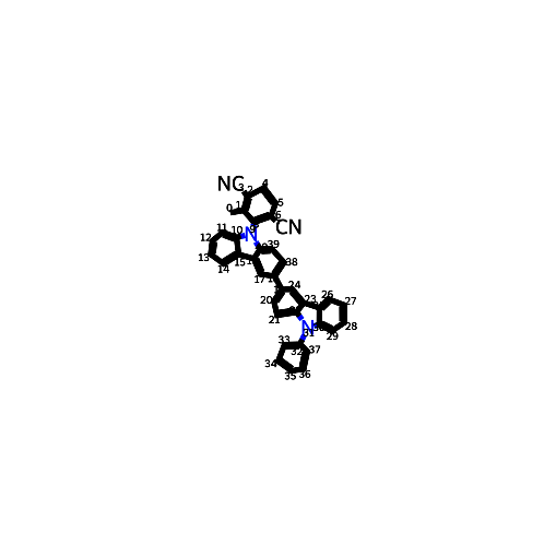 Cc1c(C#N)ccc(C#N)c1-n1c2ccccc2c2cc(-c3ccc4c(c3)c3ccccc3n4-c3ccccc3)ccc21